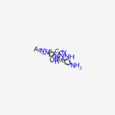 COc1cc(N2CCN(C(C)=O)CC2)ccc1Nc1nc(Nc2cccc(N)c2)ncc1C(F)(F)F